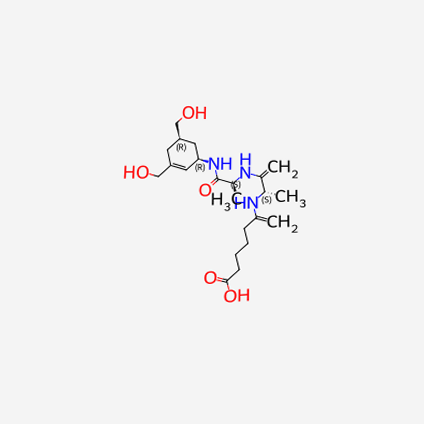 C=C(CCCCC(=O)O)N[C@@H](C)C(=C)N[C@@H](C)C(=O)N[C@H]1C=C(CO)C[C@@H](CO)C1